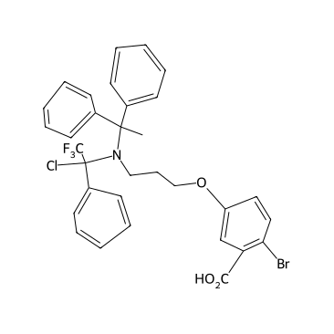 CC(c1ccccc1)(c1ccccc1)N(CCCOc1ccc(Br)c(C(=O)O)c1)C(Cl)(c1ccccc1)C(F)(F)F